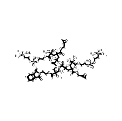 CC(C)(CC(C)(CC(C)(Br)C(=O)OCCOP(=O)(O)OCC[N+](C)(C)C)C(=O)OCC1CO1)C(=O)OCC(C)(COC(=O)C(C)(C)CC(C)(CC(C)(Br)C(=O)OCCOP(=O)(O)OCC[N+](C)(C)C)C(=O)OCC1CO1)C(=O)OCCN1C(=O)C2C3C=CC(O3)C2C1=O